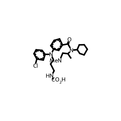 CNCC(C)N(C(=O)c1cccc(N(CCCNC(=O)O)c2cccc(Cl)c2)c1)C1CCCCC1